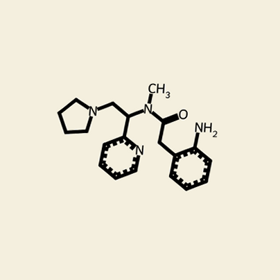 CN(C(=O)Cc1ccccc1N)C(CN1CCCC1)c1ccccn1